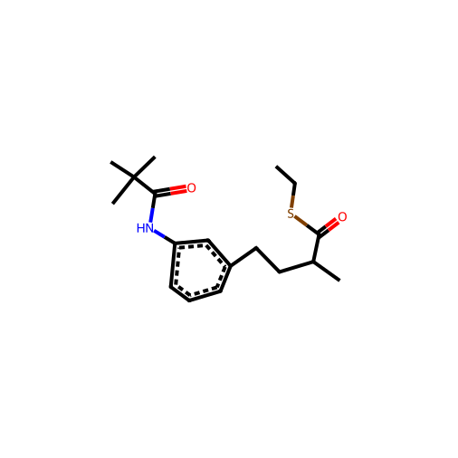 CCSC(=O)C(C)CCc1cccc(NC(=O)C(C)(C)C)c1